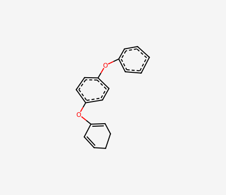 C1=CC(Oc2ccc(Oc3ccccc3)cc2)=CCC1